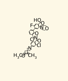 CO[C@H]1CC2(CN(c3cc(Cl)c(C(=O)N4COc5c(cccc5-c5cc(N6C7CCC6COC7)c(C(=O)O)cc5F)C4)c(Cl)c3)C2)[C@H]1C